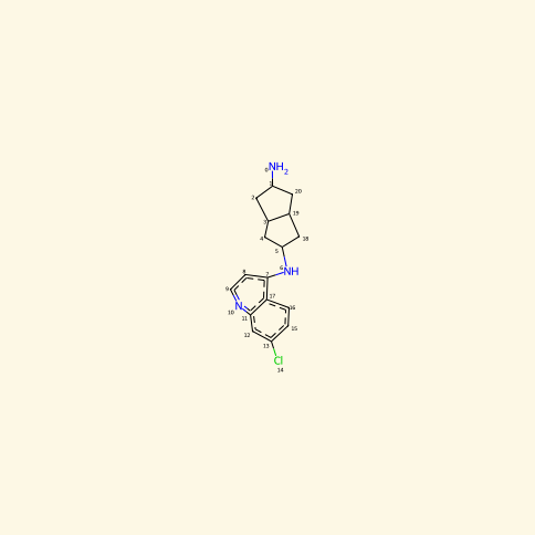 NC1CC2CC(Nc3ccnc4cc(Cl)ccc34)CC2C1